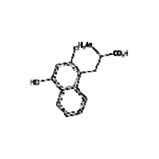 O=C(O)C([AsH2])Cc1c(Cl)cc(O)c2ccccc12